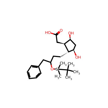 CC(C)(C)[Si](C)(C)OC(CC[C@@H]1[C@@H](CC(=O)O)[C@@H](O)C[C@H]1O)Cc1ccccc1